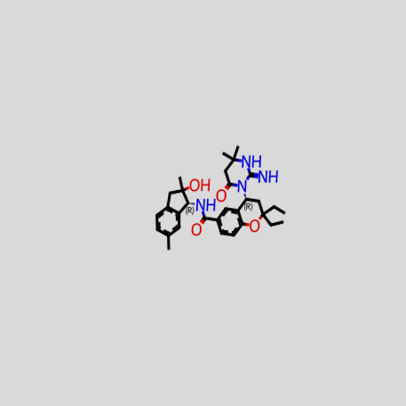 CCC1(CC)C[C@@H](N2C(=N)NC(C)(C)CC2=O)c2cc(C(=O)N[C@@H]3c4cc(C)ccc4CC3(C)O)ccc2O1